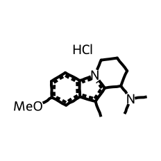 COc1ccc2c(c1)c(C)c1n2CCCC1N(C)C.Cl